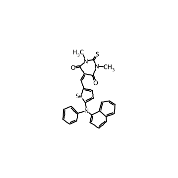 CN1C(=O)C(=Cc2ccc(N(c3ccccc3)c3cccc4ccccc34)[se]2)C(=O)N(C)C1=S